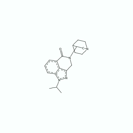 CC(C)n1nc2c3c(cccc31)C(=O)N(C1CN3CCC1CC3)C2